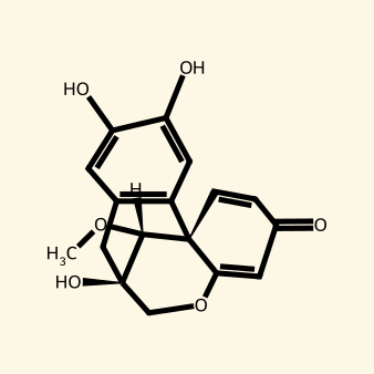 CO[C@H]1[C@]2(O)COC3=CC(=O)C=C[C@@]31c1cc(O)c(O)cc1C2